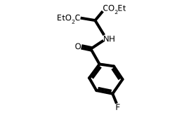 CCOC(=O)C(NC(=O)c1ccc(F)cc1)C(=O)OCC